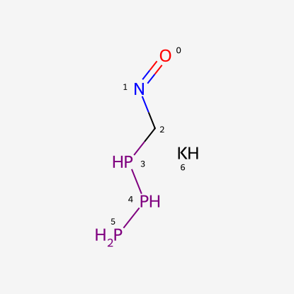 O=NCPPP.[KH]